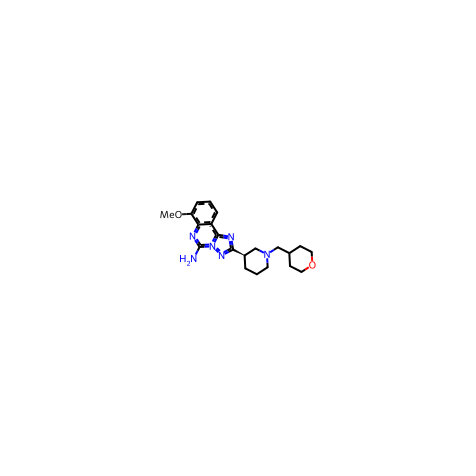 COc1cccc2c1nc(N)n1nc([C@@H]3CCCN(CC4CCOCC4)C3)nc21